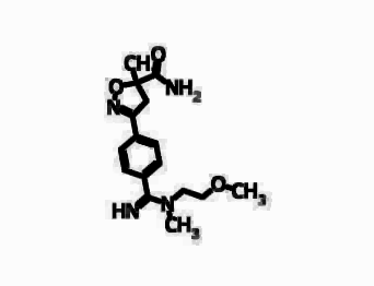 COCCN(C)C(=N)c1ccc(C2=NOC(C)(C(N)=O)C2)cc1